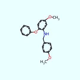 COc1ccc(CNc2cc(OC)ccc2Oc2ccccc2)cc1